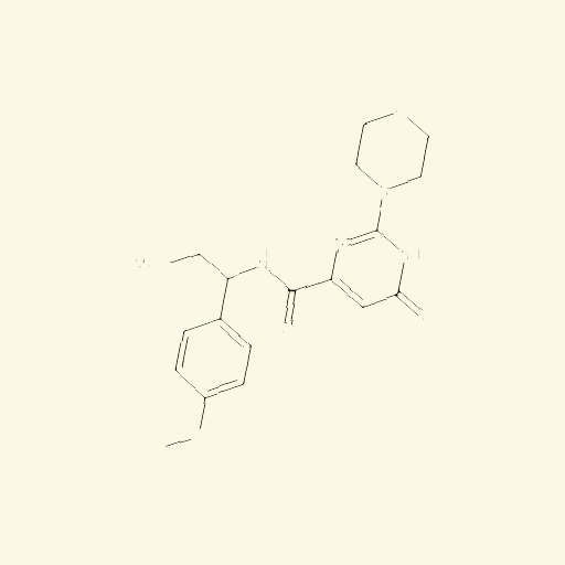 COCC(NC(=O)c1cc(=O)[nH]c(N2CCOCC2)n1)c1ccc(OC(F)(F)F)cc1